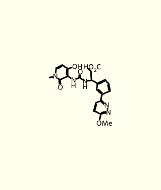 COc1ccc(-c2cccc(C(CC(=O)O)NC(=O)Nc3c(O)ccn(C)c3=O)c2)nn1